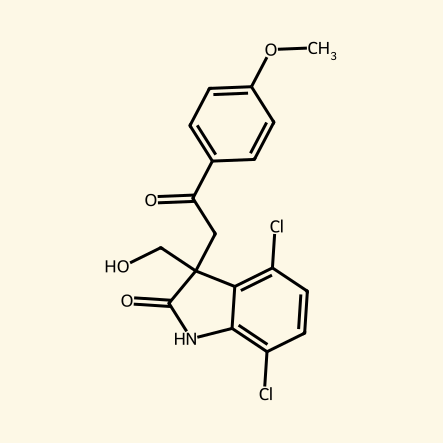 COc1ccc(C(=O)CC2(CO)C(=O)Nc3c(Cl)ccc(Cl)c32)cc1